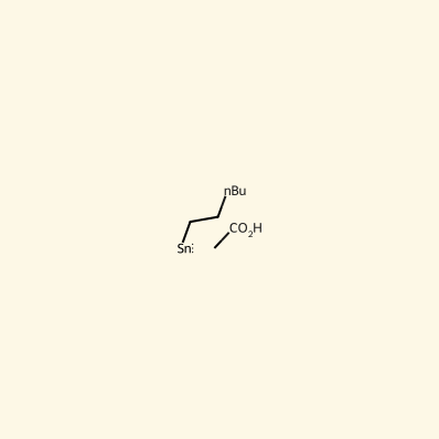 CC(=O)O.CCCCC[CH2][Sn]